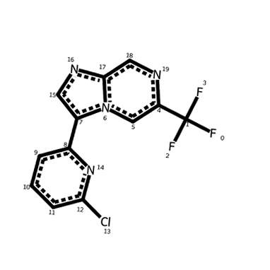 FC(F)(F)c1cn2c(-c3cccc(Cl)n3)cnc2cn1